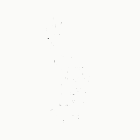 C[Si](C)(C)c1ccc(-c2ccc3c(c2)Oc2cccc4c(-c5cccc6ccccc56)ccc-3c24)cc1